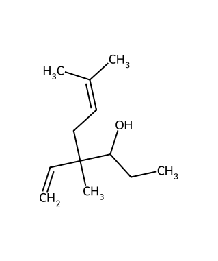 C=CC(C)(CC=C(C)C)C(O)CC